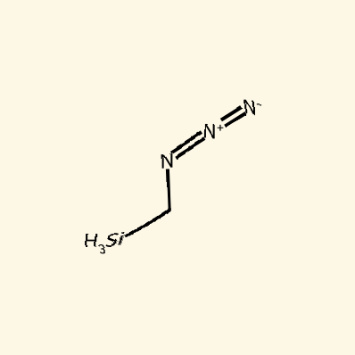 [N-]=[N+]=NC[SiH3]